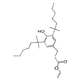 C=COC(=O)CCc1cc(C(C)(C)CCCCC)c(O)c(C(C)(C)CCCCC)c1